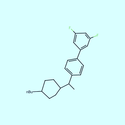 CCCCC1CCC(C(C)c2ccc(-c3cc(F)cc(F)c3)cc2)CC1